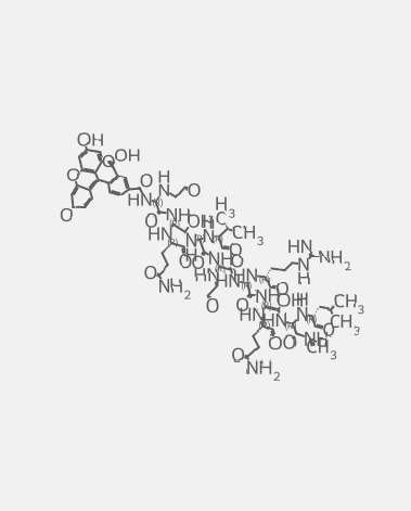 CNC(=O)[C@@H](NC(O)[C@@H](NC(=O)[C@@H](NC(=O)[C@H](NCC=O)NC(=O)[C@@H](NC(O)[C@@H](NC(=O)[C@H](NCC=O)NC(=O)c1ccc(-c2c3ccc(=O)cc-3oc3cc(O)ccc23)c(C(=O)O)c1)N[C@@H](C=O)CCC(N)=O)N[C@@H](C=O)C(C)C)N[C@@H](C=O)CCCNC(=N)N)N[C@@H](C=O)CCC(N)=O)N[C@@H](C=O)CC(C)C